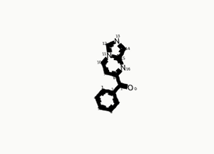 O=C(c1ccccc1)c1ccn2cncc2n1